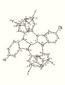 N#Cc1ccc2c(c1)N(c1cc(F)nc(F)c1)C(C1N(c3cc(F)nc(F)c3)c3ccc(C#N)cc3N1c1cc(F)nc(F)c1)N2c1cc(F)nc(F)c1